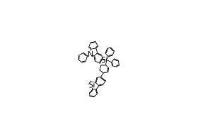 C[Si]1(C)c2ccccc2-c2ccc(C3C=CC([Si](c4ccccc4)(c4ccccc4)c4ccc5c(c4)c4ccccc4n5-c4ccccc4)CC3)cc21